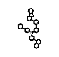 c1ccc(-c2ccc(N(c3cccc(-c4cccc(-c5cccc6c5sc5ccccc56)c4)c3)c3cccc(-c4cccc5ccccc45)c3)cc2)cc1